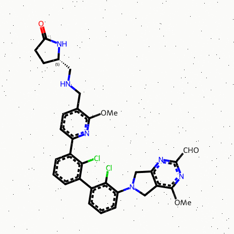 COc1nc(-c2cccc(-c3cccc(N4Cc5nc(C=O)nc(OC)c5C4)c3Cl)c2Cl)ccc1CNC[C@@H]1CCC(=O)N1